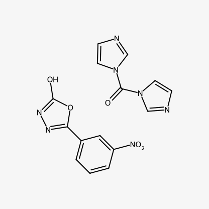 O=C(n1ccnc1)n1ccnc1.O=[N+]([O-])c1cccc(-c2nnc(O)o2)c1